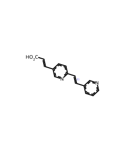 O=C(O)C=Cc1ccc(/C=C/c2cccnc2)nc1